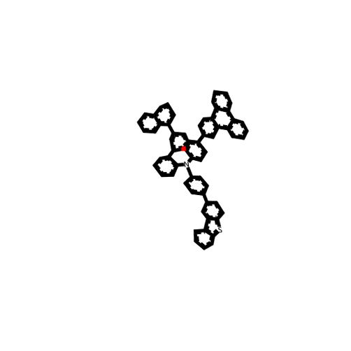 c1cc(-c2ccccc2N(c2ccc(-c3ccc4sc5ccccc5c4c3)cc2)c2ccc(-c3ccc4c5ccccc5c5ccccc5c4c3)cc2)cc(-c2cccc3ccccc23)c1